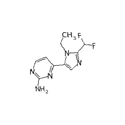 CCn1c(-c2ccnc(N)n2)cnc1C(F)F